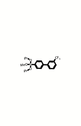 CO[Si](OC(C)C)(OC(C)C)c1ccc(-c2cccc(C(F)(F)F)c2)cc1